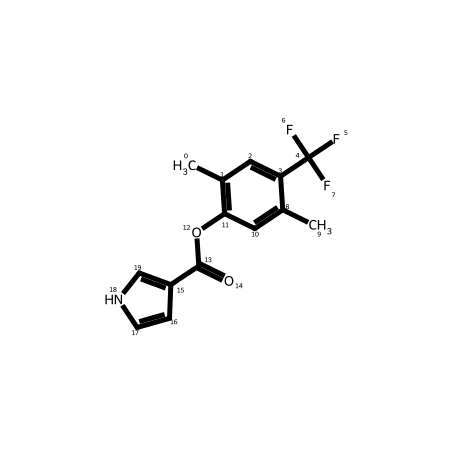 Cc1cc(C(F)(F)F)c(C)cc1OC(=O)c1cc[nH]c1